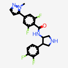 Cn1nccc1-c1cc(F)c(C(=O)NC2CNCC2c2ccc(F)c(F)c2)c(F)c1